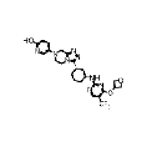 Oc1ccc(N2CCn3c(nnc3[C@H]3CCC[C@@H](Nc4ncc(C(F)(F)F)c(OC5COC5)n4)C3)C2)cn1